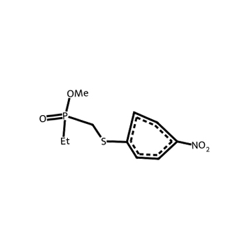 CCP(=O)(CSc1ccc([N+](=O)[O-])cc1)OC